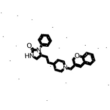 O=C1NCC(CCC2CCN(CC3=Cc4ccccc4OC3)CC2)N1c1ccccc1